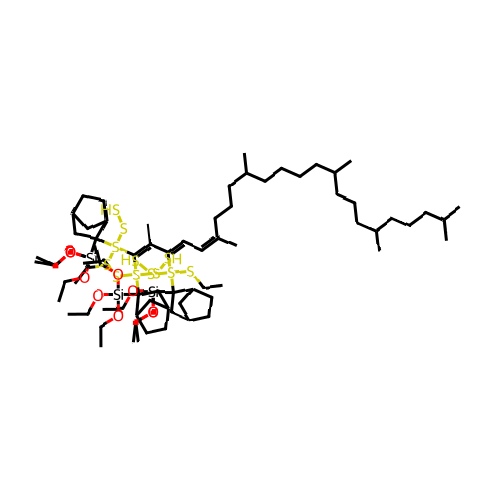 CCO[Si](OCC)(OCC)C1(S(SS)(SCC)C(=CC=C(C)CCCC(C)CCCCC(C)CCCC(C)CCCC(C)C)C(C)=C(S(SS)(SCC)C2([Si](OCC)(OCC)OCC)CC3CCC2C3)S(SS)(SCC)C2([Si](OCC)(OCC)OCC)CC3CCC2C3)CC2CCC1C2